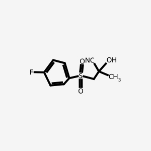 CC(O)(C#N)CS(=O)(=O)c1ccc(F)cc1